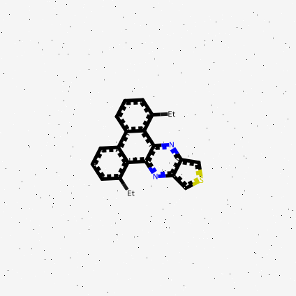 CCc1cccc2c3cccc(CC)c3c3nc4cscc4nc3c12